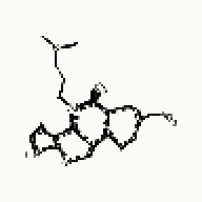 CN(C)CCCn1c(=O)c2cc([N+](=O)[O-])ccc2c2cnc3[nH]ccc3c21